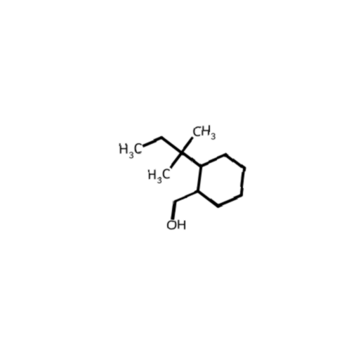 CCC(C)(C)C1CCCCC1CO